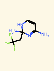 NC1=NC(N)(CC(F)(F)F)NC=C1